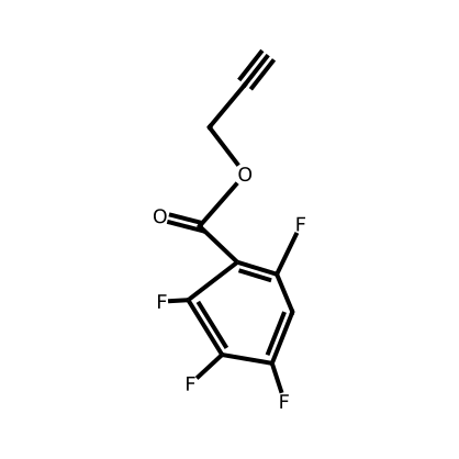 C#CCOC(=O)c1c(F)cc(F)c(F)c1F